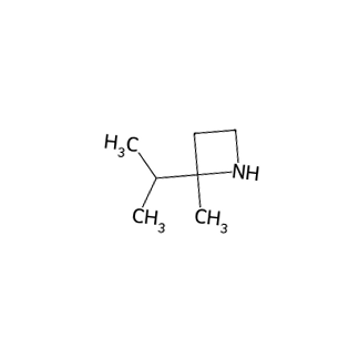 CC(C)C1(C)CCN1